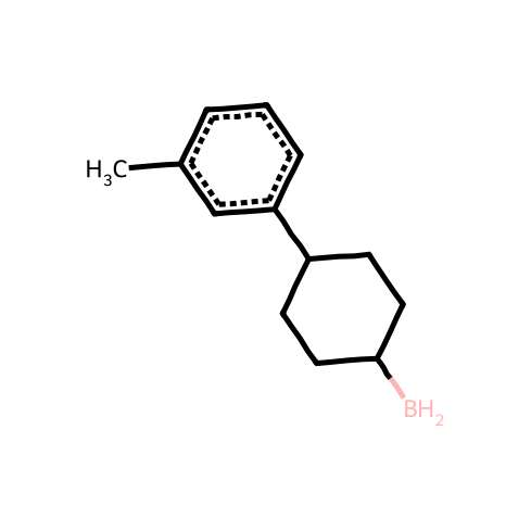 BC1CCC(c2cccc(C)c2)CC1